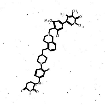 COc1cc(-c2cn(C)c(=O)c(C)c2C)cc(Cl)c1CN1CCc2c(CC3CCN(c4ccc(N[C@@H]5CCC(=O)NC5=O)cc4F)CC3)cccc2C1